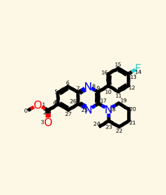 COC(=O)c1ccc2nc(-c3ccc(F)cc3)c(N3CCCCC3C)nc2c1